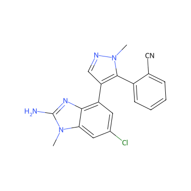 Cn1ncc(-c2cc(Cl)cc3c2nc(N)n3C)c1-c1ccccc1C#N